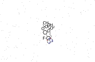 C=CC(=O)OCCCC1=C/CC/C=C(c2ccc(-c3ccc(OC(=O)C=C)cc3)c(F)c2)/C=C\1